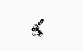 CNC(=O)c1cc(-c2nn(-c3ccccc3)c(NC(=O)N[C@@H]3CN(Cc4ccco4)O[C@H]3C)c2C)cn(C)c1=O